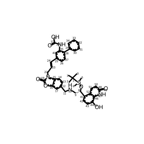 CC(C)(C)[Si](C)(C)O[C@@H](CNCc1ccc2c(c1)oc(=O)n2C/C=C/c1ccc(-c2ccccc2)c(NC(=O)O)c1)c1ccc(O)c2[nH]c(=O)ccc12